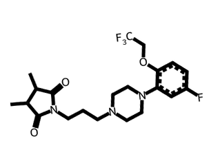 CC1C(=O)N(CCCN2CCN(c3cc(F)ccc3OCC(F)(F)F)CC2)C(=O)C1C